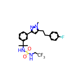 Cn1nc(-c2cccc(C(C)(C)NS(=O)(=O)NCC(F)(F)F)c2)cc1CCc1ccc(F)cc1